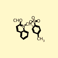 C[n+]1c(C=O)ccc2ccccc21.Cc1ccc(S(=O)(=O)[O-])cc1